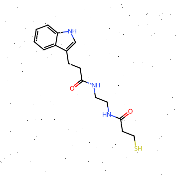 O=C(CCS)NCCNC(=O)CCc1c[nH]c2ccccc12